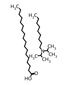 CCCCCCCCCCCCCCCCCC(=O)O.CCCCCCCCCN(C(C)C)C(C)C